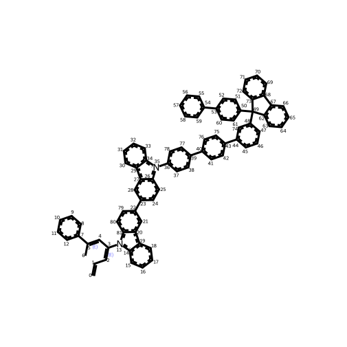 C=C/C=C(\C=C(/C)c1ccccc1)n1c2ccccc2c2cc(-c3ccc4c(c3)c3ccccc3n4-c3ccc(-c4ccc(-c5cccc(C6(c7ccc(-c8ccccc8)cc7)c7ccccc7-c7ccccc76)c5)cc4)cc3)ccc21